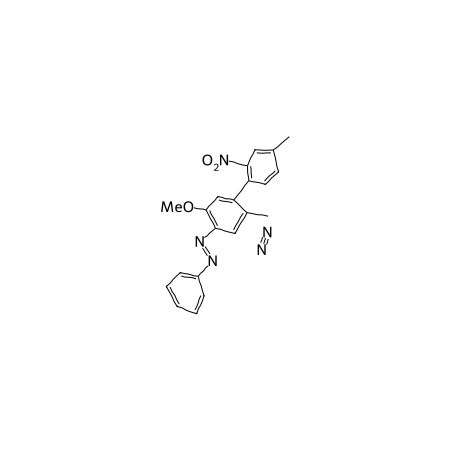 COc1cc(-c2ccc(C)cc2[N+](=O)[O-])c(C)cc1N=Nc1ccccc1.N#N